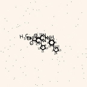 CONC(=O)c1cn(C2CCCC2)c2nc(Nc3ccc(N4CCCC4)cc3)ncc2c1=O